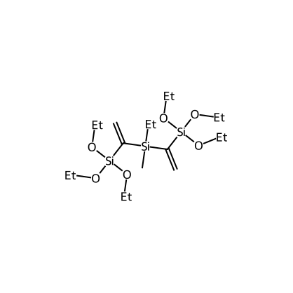 C=C([Si](OCC)(OCC)OCC)[Si](C)(CC)C(=C)[Si](OCC)(OCC)OCC